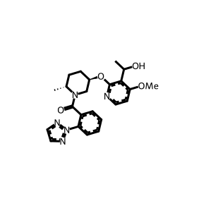 COc1ccnc(O[C@@H]2CC[C@@H](C)N(C(=O)c3ccccc3-n3nccn3)C2)c1C(C)O